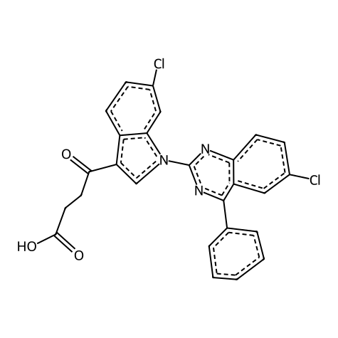 O=C(O)CCC(=O)c1cn(-c2nc(-c3ccccc3)c3cc(Cl)ccc3n2)c2cc(Cl)ccc12